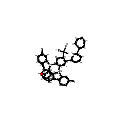 Cc1ccc2c3ccc(C)cc3n(-c3cc(-c4cccc(-c5ccccc5)n4)c(C(F)(F)F)cc3-n3c4cc(C)ccc4c4ccc(C)cc43)c2c1